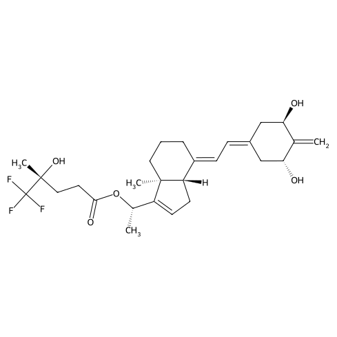 C=C1[C@H](O)CC(=C/C=C2\CCC[C@]3(C)C([C@H](C)OC(=O)CC[C@@](C)(O)C(F)(F)F)=CC[C@@H]23)C[C@H]1O